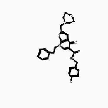 O=C(NCc1ccc(Cl)cc1)c1cn(CCc2ccccc2)c2oc(CN3CCOCC3)cc2c1=O